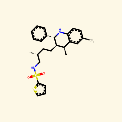 C[C@H](CC[C@@H]1[C@H](C)c2cc(C(F)(F)F)ccc2N[C@H]1c1ccccc1)CNS(=O)(=O)c1cccs1